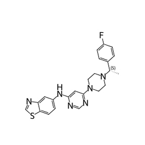 C[C@@H](c1ccc(F)cc1)N1CCN(c2cc(Nc3ccc4scnc4c3)ncn2)CC1